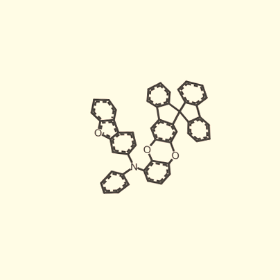 c1ccc(N(c2ccc3c(c2)oc2ccccc23)c2cccc3c2Oc2cc4c(cc2O3)C2(c3ccccc3-c3ccccc32)c2ccccc2-4)cc1